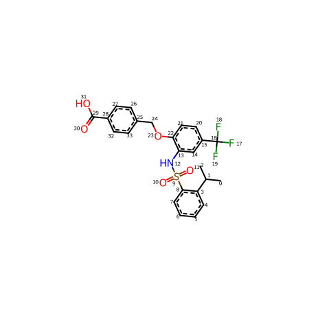 CC(C)c1ccccc1S(=O)(=O)Nc1cc(C(F)(F)F)ccc1OCc1ccc(C(=O)O)cc1